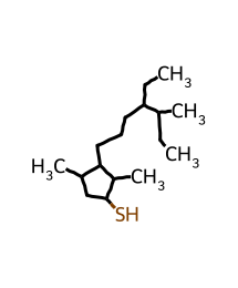 CCC(C)C(CC)CCCC1C(C)CC(S)C1C